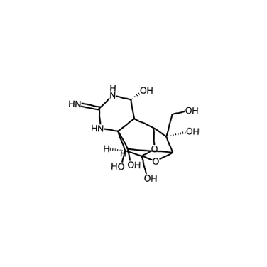 N=C1N[C@H](O)C2C3OC4(O)OC([C@H](O)C2(N1)[C@@H]4O)[C@]3(O)CO